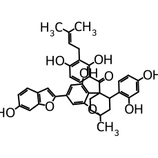 CC(C)=CCc1c(O)ccc(C(=O)C23CCC(C)(CC2c2ccc(O)cc2O)Oc2cc(-c4cc5ccc(O)cc5o4)cc(O)c23)c1O